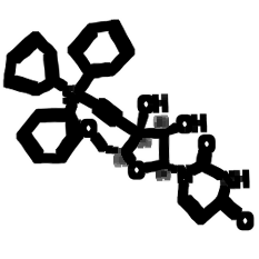 O=c1ccn([C@@H]2O[C@H](CO)[C@](O)(C#C[Si](c3ccccc3)(c3ccccc3)c3ccccc3)[C@H]2O)c(=O)[nH]1